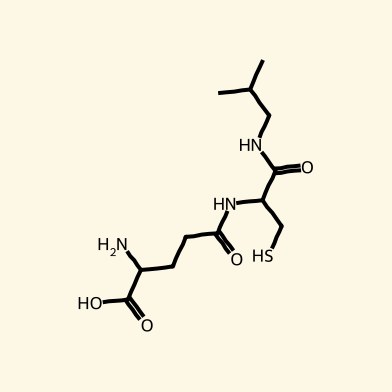 CC(C)CNC(=O)C(CS)NC(=O)CCC(N)C(=O)O